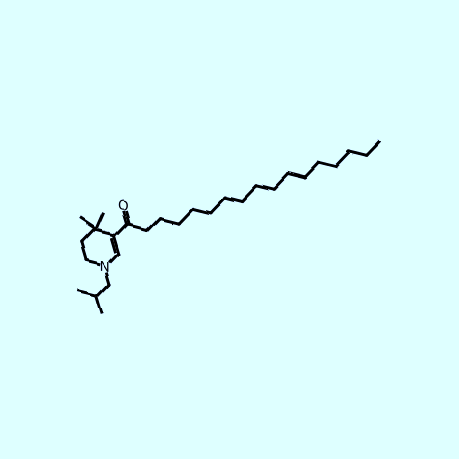 CCCCCCCCCCCCCCCCC(=O)C1=CN(CC(C)C)CCC1(C)C